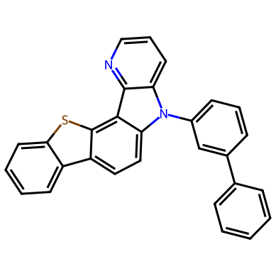 c1ccc(-c2cccc(-n3c4cccnc4c4c5sc6ccccc6c5ccc43)c2)cc1